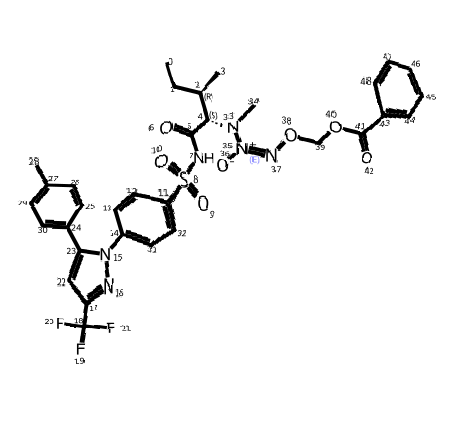 CC[C@@H](C)[C@@H](C(=O)NS(=O)(=O)c1ccc(-n2nc(C(F)(F)F)cc2-c2ccc(C)cc2)cc1)N(C)/[N+]([O-])=N\OCOC(=O)c1ccccc1